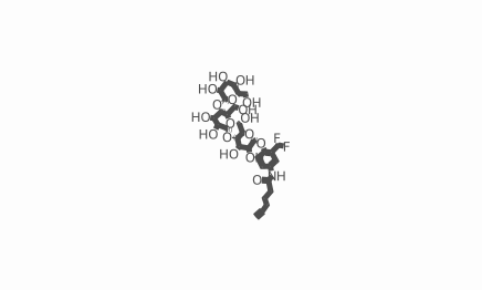 C#CCCCC(=O)Nc1ccc(O[C@@H]2OC(CO)[C@@H](O[C@H]3OC(CO)[C@@H](O[C@H]4OC(CO)[C@@H](O)C(O)C4O)C(O)C3O)C(O)C2O)c(C(F)F)c1